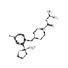 O=C(OC(C(F)(F)F)C(F)(F)F)N1CCN(Cc2ccc(F)cc2C2(C(=O)O)CCCC2)CC1